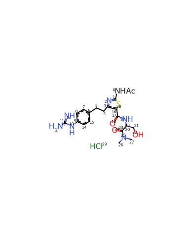 CC(=O)Nc1nc(CCc2ccc(NC(=N)N)cc2)c(C(=O)N[C@@H](CO)C(=O)N(C)C)s1.Cl